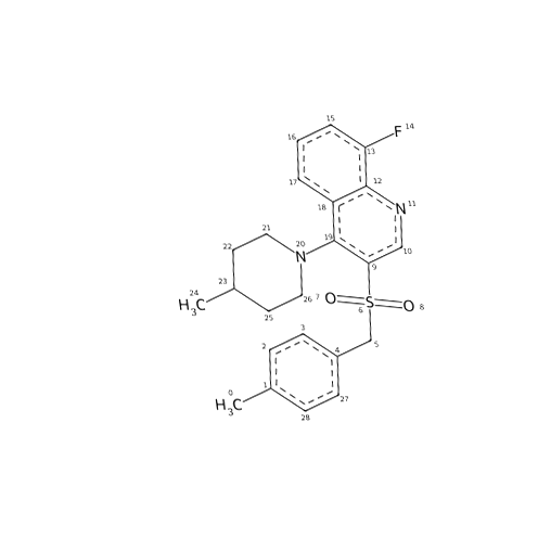 Cc1ccc(CS(=O)(=O)c2cnc3c(F)cccc3c2N2CCC(C)CC2)cc1